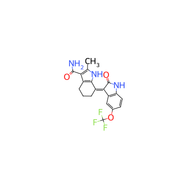 Cc1[nH]c2c(c1C(N)=O)CCC/C2=C1/C(=O)Nc2ccc(OC(F)(F)F)cc21